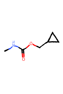 CNC(=O)OCC1CC1